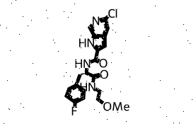 COCCNC(=O)[C@H](Cc1ccc(F)cc1)NC(=O)c1cc2cc(Cl)ncc2[nH]1